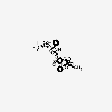 CCCCC1(CC)C(=O)Sc2cc(OCC(=O)NC(C(=O)NCP(C)(=O)OCC)c3ccccc3)c(SC)cc2N(c2ccccc2)C1=O